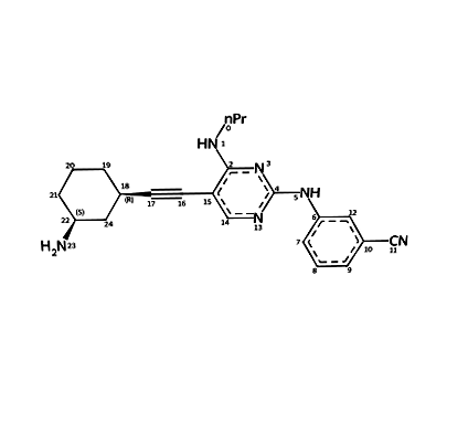 CCCNc1nc(Nc2cccc(C#N)c2)ncc1C#C[C@@H]1CCC[C@H](N)C1